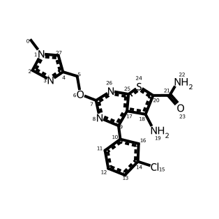 Cn1cnc(COc2nc(-c3cccc(Cl)c3)c3c(N)c(C(N)=O)sc3n2)c1